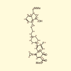 CNCC1OB(O)c2c(OCCCN3CCN(c4cc5c(cc4F)c(=O)c(C(=O)OC)cn5C4CC4)CC3)cccc21